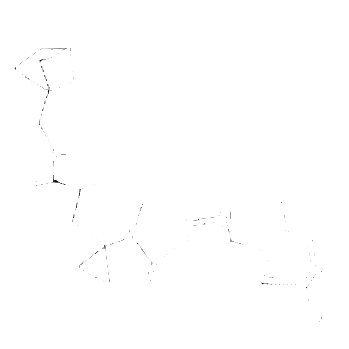 COc1cc(-c2cc(C(=O)N3CC[C@H](C(=O)NCC45CCC(O)(C4)C5)CC34CC4)n[nH]2)c(F)cn1